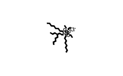 CCCCCCCC[N+](CCCCCCCC)(CCC(CCC)CCCCC)[Si](OCC)(OCC)OCC.[Cl-]